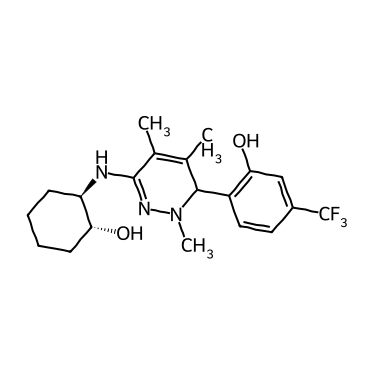 CC1=C(C)C(c2ccc(C(F)(F)F)cc2O)N(C)N=C1N[C@@H]1CCCC[C@H]1O